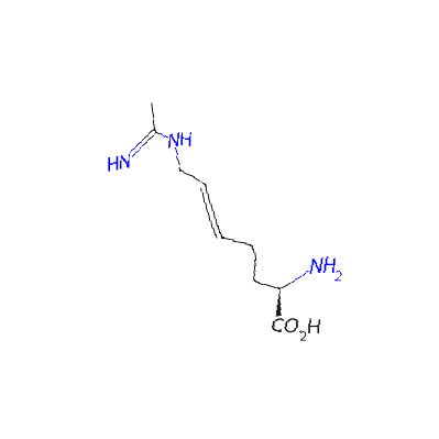 CC(=N)NC/C=C/CC[C@@H](N)C(=O)O